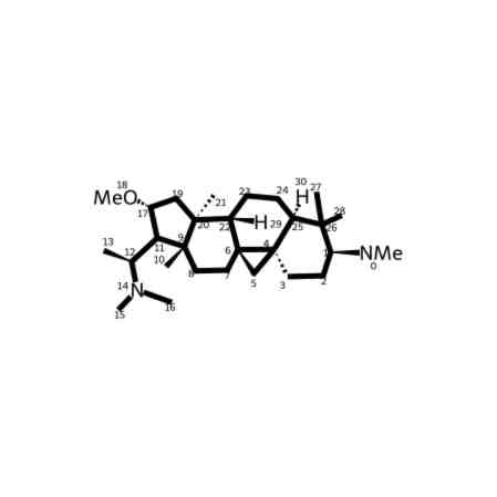 CN[C@H]1CC[C@]23C[C@]24CC[C@]2(C)C([C@H](C)N(C)C)[C@H](OC)C[C@@]2(C)[C@@H]4CC[C@H]3C1(C)C